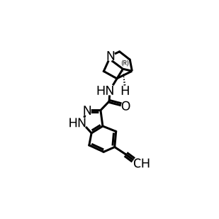 C#Cc1ccc2[nH]nc(C(=O)N[C@H]3CN4CCC3CC4)c2c1